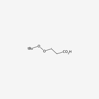 CC(C)(C)OO[CH]CC(=O)O